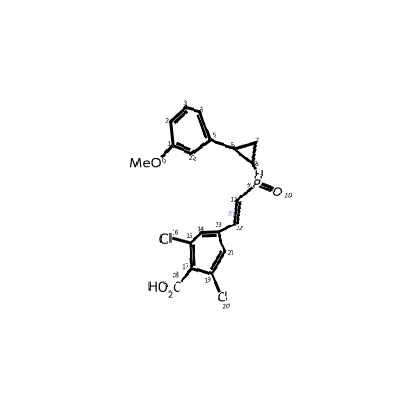 COc1cccc(C2CC2[PH](=O)/C=C/c2cc(Cl)c(C(=O)O)c(Cl)c2)c1